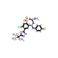 CC(C)(C)c1nnc(-c2cc3c(cc2Cl)S(=O)(=O)C[C@H](N)CN3Cc2ccc(Cl)cc2)o1